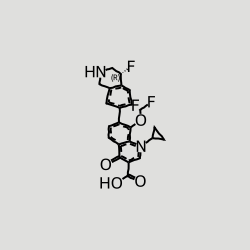 O=C(O)c1cn(C2CC2)c2c(OC(F)F)c(-c3ccc4c(c3)CNC[C@@H]4F)ccc2c1=O